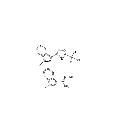 Cn1cc(-c2noc(C(Cl)(Cl)Cl)n2)c2ccccc21.Cn1cc(C(N)=NO)c2ccccc21